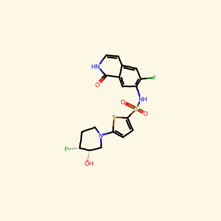 O=c1[nH]ccc2cc(F)c(NS(=O)(=O)c3ccc(N4CC[C@@H](F)[C@@H](O)C4)s3)cc12